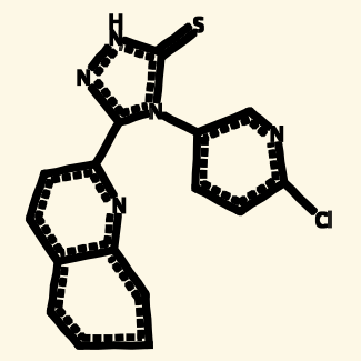 S=c1[nH]nc(-c2ccc3ccccc3n2)n1-c1ccc(Cl)nc1